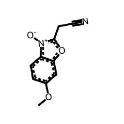 COc1ccc2c(c1)oc(CC#N)[n+]2[O-]